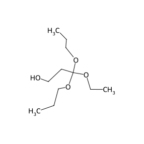 CCCOC(CCO)(OCC)OCCC